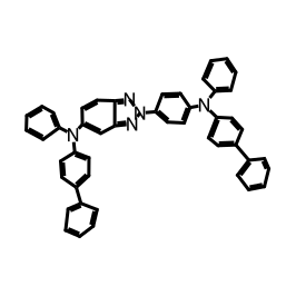 c1ccc(-c2ccc(N(c3ccccc3)c3ccc(-n4nc5ccc(N(c6ccccc6)c6ccc(-c7ccccc7)cc6)cc5n4)cc3)cc2)cc1